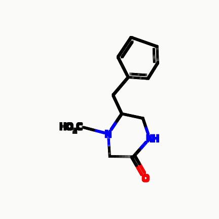 O=C1CN(C(=O)O)C(Cc2ccccc2)CN1